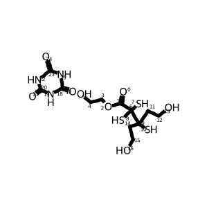 O=C(OCCO)C(S)(S)C(S)(CCO)CCO.O=c1[nH]c(=O)[nH]c(=O)[nH]1